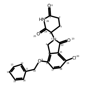 O=C1CCC(N2Cc3c(OCc4ccccc4)ccc(Cl)c3C2=O)C(=O)N1